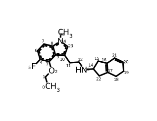 CCOc1c(F)ccc2c1c(CCNC1CC3=C(CCC=C3)C1)cn2C